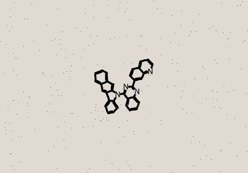 c1ccc2cc3c(cc2c1)c1ccccc1n3-c1nc(-c2ccc3cccnc3c2)nc2ccccc12